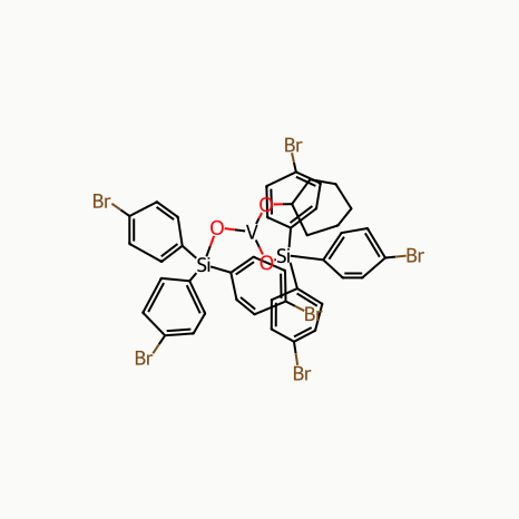 Brc1ccc([Si]([O][V]([O]C2CCCCC2)[O][Si](c2ccc(Br)cc2)(c2ccc(Br)cc2)c2ccc(Br)cc2)(c2ccc(Br)cc2)c2ccc(Br)cc2)cc1